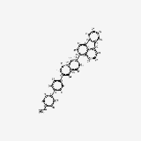 N#Cc1ccc(-c2ccc(-c3ccc4cc(-c5ccc6c7c(cccc57)-c5ccccc5-6)ccc4c3)cc2)cc1